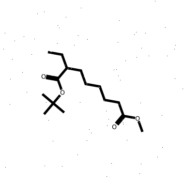 CCC(CCCCCC(=O)OC)C(=O)OC(C)(C)C